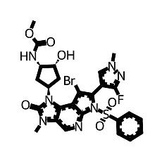 COC(=O)N[C@H]1C[C@H](n2c(=O)n(C)c3cnc4c(c(Br)c(-c5cn(C)nc5F)n4S(=O)(=O)c4ccccc4)c32)C[C@H]1O